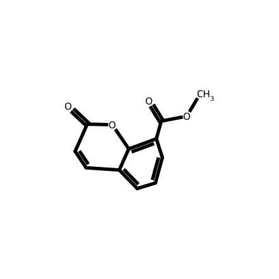 COC(=O)c1cccc2ccc(=O)oc12